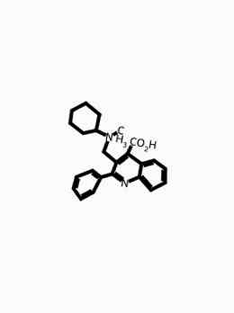 CN(Cc1c(-c2ccccc2)nc2ccccc2c1C(=O)O)C1CCCCC1